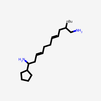 CCCCC(CN)CC=CCCC=CCC(N)C1CCCC1